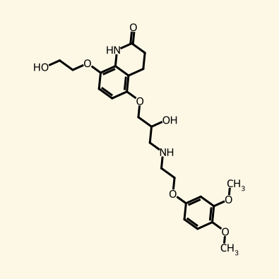 COc1ccc(OCCNCC(O)COc2ccc(OCCO)c3c2CCC(=O)N3)cc1OC